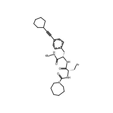 CC(C)C[C@H](NC(=O)N1CCCCCC1)C(=O)N[C@@H](Cc1ccc(C#CC2CCCCC2)cc1)C(=O)NC(C)(C)C